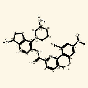 C[S+]([O-])c1cc(F)c(-c2nc(C(=O)Nc3cnc4c(c3N3CCC[C@H](N)C3)CCC4O)ccc2F)c(F)c1